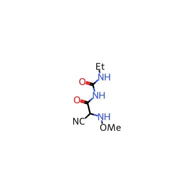 CCNC(=O)NC(=O)C(C#N)NOC